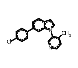 Cc1ccncc1-n1ccc2ccc(-c3ccc(Cl)cc3)cc21